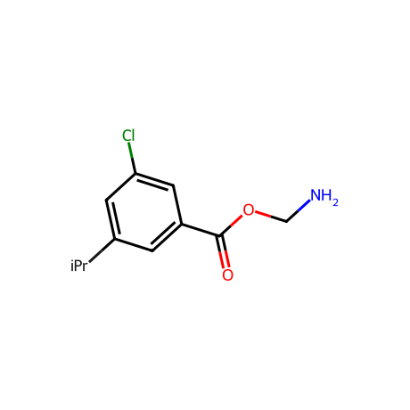 CC(C)c1cc(Cl)cc(C(=O)OCN)c1